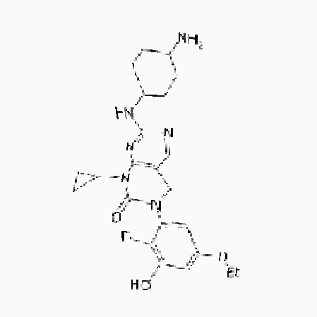 CCOc1cc(O)c(F)c(N2Cc3cnc(NC4CCC(N)CC4)nc3N(C3CC3)C2=O)c1